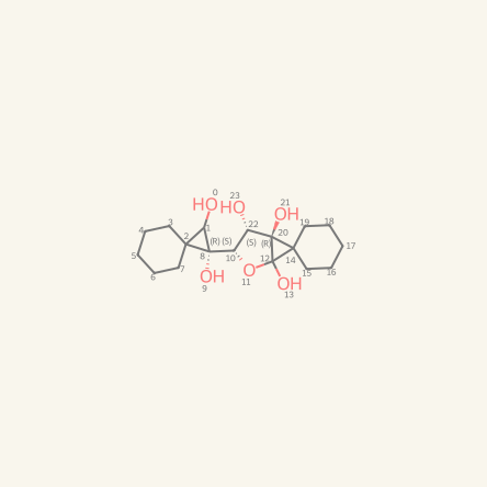 OC1C2(CCCCC2)[C@]1(O)[C@H]1OC2(O)C3(CCCCC3)[C@@]2(O)[C@H]1O